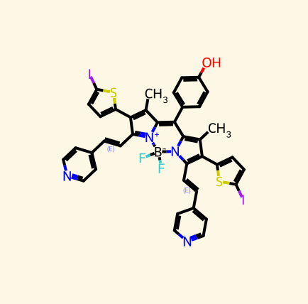 CC1=C(c2ccc(I)s2)C(/C=C/c2ccncc2)=[N+]2C1=C(c1ccc(O)cc1)c1c(C)c(-c3ccc(I)s3)c(/C=C/c3ccncc3)n1[B-]2(F)F